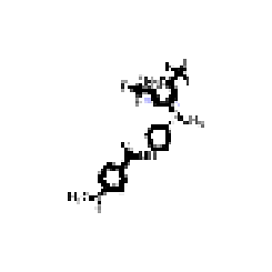 CNc1ccc(C(=O)N[C@H]2CC[C@@H](N(C)C(/C=C(\N)C(F)(F)F)=C/C(C)C(F)(F)F)CC2)cc1